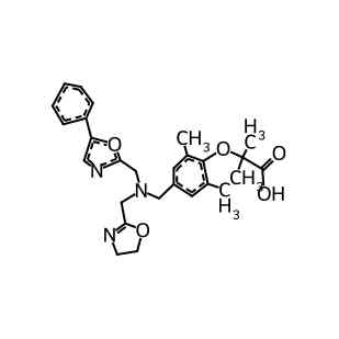 Cc1cc(CN(CC2=NCCO2)Cc2ncc(-c3ccccc3)o2)cc(C)c1OC(C)(C)C(=O)O